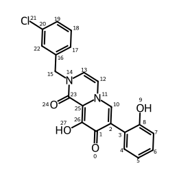 O=c1c(-c2ccccc2O)cn2ccn(Cc3cccc(Cl)c3)c(=O)c2c1O